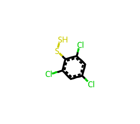 SSc1c(Cl)cc(Cl)cc1Cl